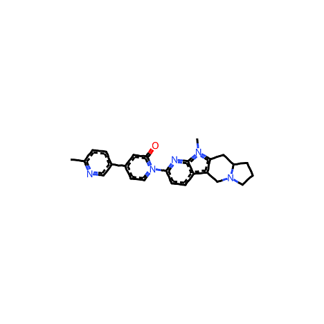 Cc1ccc(-c2ccn(-c3ccc4c5c(n(C)c4n3)CC3CCCN3C5)c(=O)c2)cn1